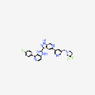 Fc1ccc(-c2nccc3[nH]c(-c4n[nH]c5cnc(-c6cncc(CN7CCC(F)(F)C7)c6)cc45)nc23)cc1